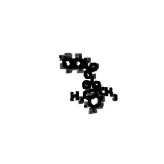 CCC(C)(OC(=O)COC(=O)C1CC2CC1C1C3C=CC(C3)C21)C1CCCCC1